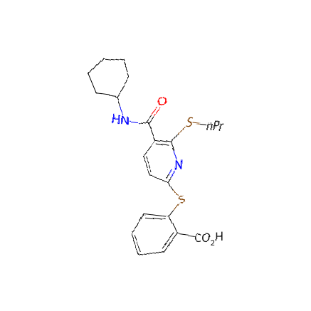 CCCSc1nc(Sc2ccccc2C(=O)O)ccc1C(=O)NC1CCCCC1